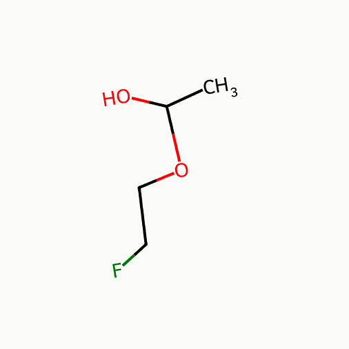 CC(O)OCCF